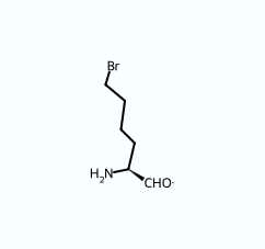 N[C@H]([C]=O)CCCCBr